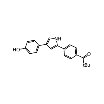 CC(C)(C)C(=O)c1ccc(-c2cc(-c3ccc(O)cc3)c[nH]2)cc1